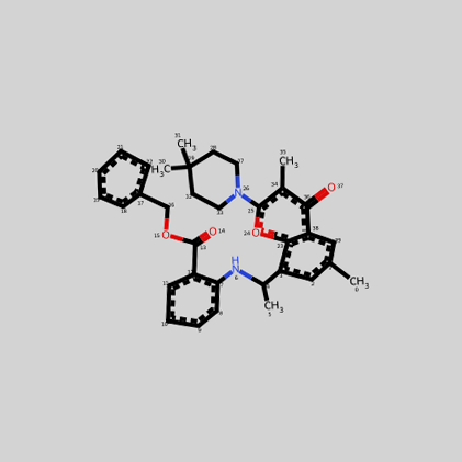 Cc1cc(C(C)Nc2ccccc2C(=O)OCc2ccccc2)c2oc(N3CCC(C)(C)CC3)c(C)c(=O)c2c1